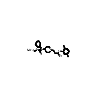 COCn1c(=O)n(C2CCN(CCC(Oc3cc(C)ccc3C)C(C)C)CC2)c2ccccc21